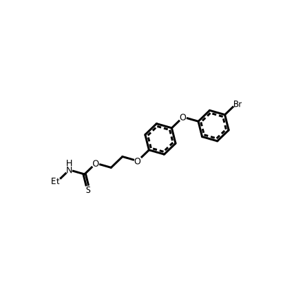 CCNC(=S)OCCOc1ccc(Oc2cccc(Br)c2)cc1